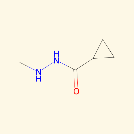 CNNC(=O)C1CC1